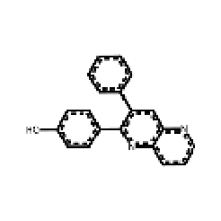 Oc1ccc(-c2nc3cccnc3cc2-c2ccccc2)cc1